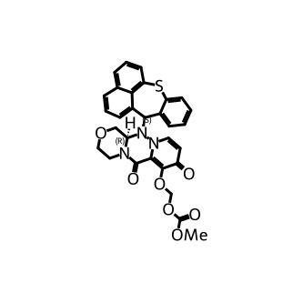 COC(=O)OCOc1c2n(ccc1=O)N([C@@H]1c3ccccc3Sc3cccc4cccc1c34)[C@@H]1COCCN1C2=O